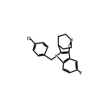 Fc1ccc2c(c1)c1c(n2Cc2ccc(Cl)cc2)C2CCN(CC2)C1